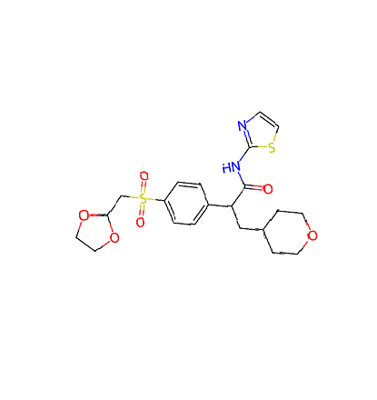 O=C(Nc1nccs1)C(CC1CCOCC1)c1ccc(S(=O)(=O)CC2OCCO2)cc1